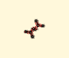 Cc1ccc2c(OCc3cc(OCc4ccccc4)cc(OCc4ccccc4)c3)c(C)ccc2c1OCc1cc(OCc2ccccc2)cc(OCc2ccccc2)c1